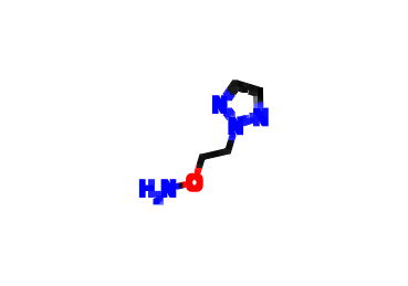 NOCCn1nccn1